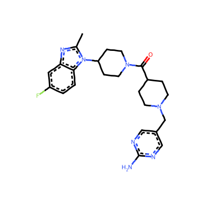 Cc1nc2cc(F)ccc2n1C1CCN(C(=O)C2CCN(Cc3cnc(N)nc3)CC2)CC1